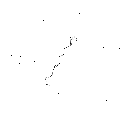 C=CCCCC=CCOCCCC